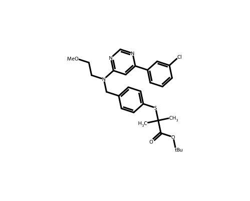 COCCN(Cc1ccc(SC(C)(C)C(=O)OC(C)(C)C)cc1)c1cc(-c2cccc(Cl)c2)ncn1